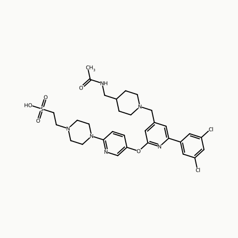 CC(=O)NCC1CCN(Cc2cc(Oc3ccc(N4CCN(CCS(=O)(=O)O)CC4)nc3)nc(-c3cc(Cl)cc(Cl)c3)c2)CC1